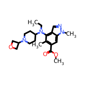 CCN(c1c(C)c(C(=O)OC)cc2c1cnn2C)C1CCN(C2COC2)CC1